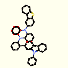 c1ccc(N(c2ccc3sc4ccccc4c3c2)c2ccccc2N(c2ccccc2)c2ccccc2-c2ccc3c4ccccc4n(-c4ccccc4)c3c2)cc1